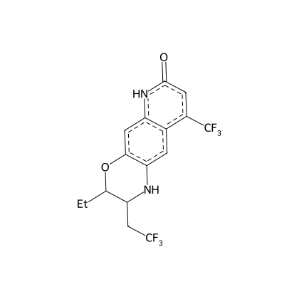 CCC1Oc2cc3[nH]c(=O)cc(C(F)(F)F)c3cc2NC1CC(F)(F)F